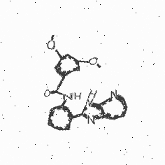 COc1cc(OC)cc(C(=O)Nc2ccccc2-c2nc3cccnc3[nH]2)c1